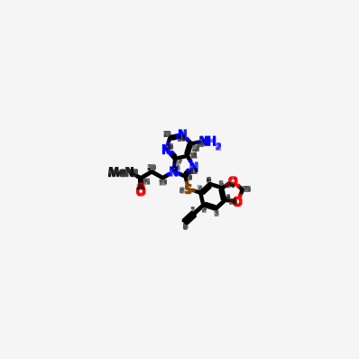 C#Cc1cc2c(cc1Sc1nc3c(N)ncnc3n1CCC(=O)NC)OCO2